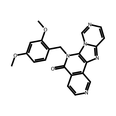 COc1ccc(Cn2c(=O)c3ccncc3c3nc4ccncn4c32)c(OC)c1